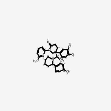 Cc1cccc(N2C[C@](c3ccc(Cl)c(Cl)c3)(C(C)N3CCCCC3c3ccc(O)cc3)CCC2=O)n1